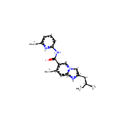 COc1cccc(NC(=O)c2cn3cc(CC(C)C#N)nc3cc2OC)n1